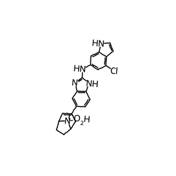 O=C(O)N1C2C=C(c3ccc4[nH]c(Nc5cc(Cl)c6cc[nH]c6c5)nc4c3)CC1CC2